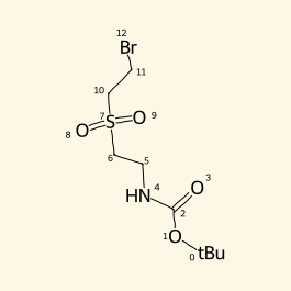 CC(C)(C)OC(=O)NCCS(=O)(=O)CCBr